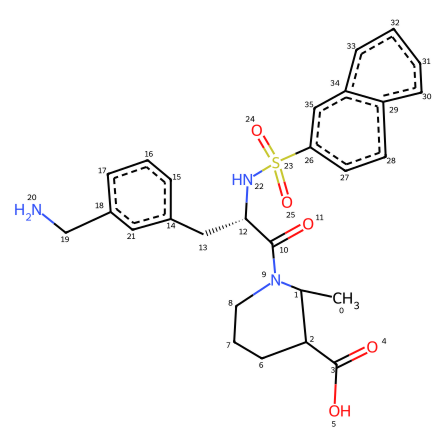 CC1C(C(=O)O)CCCN1C(=O)[C@H](Cc1cccc(CN)c1)NS(=O)(=O)c1ccc2ccccc2c1